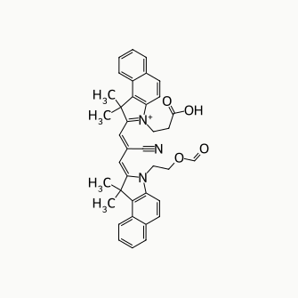 CC1(C)C(/C=C(C#N)/C=C2\N(CCOC=O)c3ccc4ccccc4c3C2(C)C)=[N+](CCC(=O)O)c2ccc3ccccc3c21